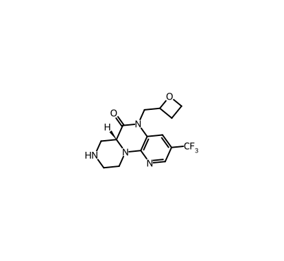 O=C1[C@H]2CNCCN2c2ncc(C(F)(F)F)cc2N1CC1CCO1